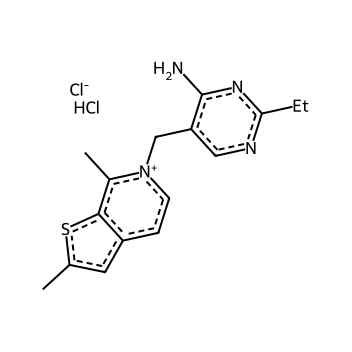 CCc1ncc(C[n+]2ccc3cc(C)sc3c2C)c(N)n1.Cl.[Cl-]